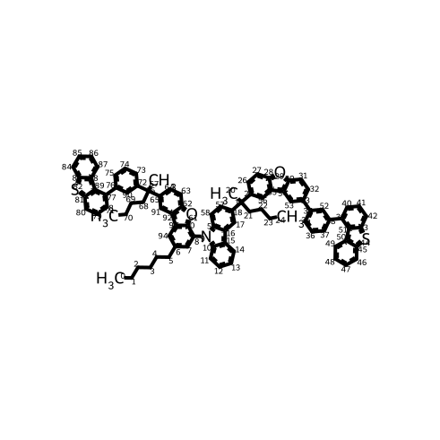 CCCCCCc1cc(-n2c3ccccc3c3cc(C(C)(CCCC)c4ccc5oc6ccc(-c7cccc(-c8cccc9sc%10ccccc%10c89)c7)cc6c5c4)ccc32)c2oc3ccc(C(C)(CCCC)c4cccc(-c5cccc6sc7ccccc7c56)c4)cc3c2c1